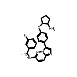 C[C@@H](Nc1ccc2ncc(-c3ccc(OC4CCCC4N)cc3)n2n1)c1cccc(F)c1